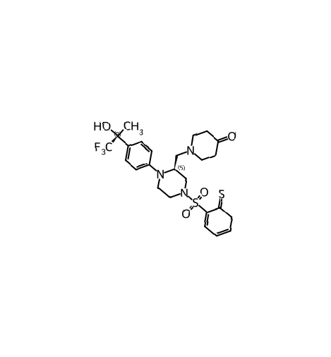 C[C@@](O)(c1ccc(N2CCN(S(=O)(=O)C3=CC=CCC3=S)C[C@@H]2CN2CCC(=O)CC2)cc1)C(F)(F)F